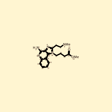 CNCCc1nc2c(N)nc3ccccc3c2n1CCCC(=O)OC